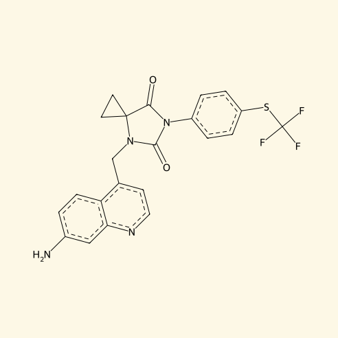 Nc1ccc2c(CN3C(=O)N(c4ccc(SC(F)(F)F)cc4)C(=O)C34CC4)ccnc2c1